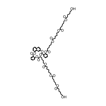 O=C(CCCCCO)OCCCCCC(=O)OCCCCCC(=O)OCCCCCC(=O)Oc1ccccc1C(=O)Oc1ccc2cccc(OC(=O)c3ccccc3OC(=O)CCCCCOC(=O)CCCCCOC(=O)CCCCCOC(=O)CCCCCO)c2c1